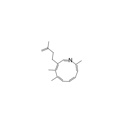 C=C(C)CCc1cnc(C)ccccc(C)c1C